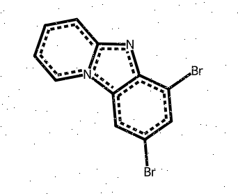 Brc1cc(Br)c2nc3ccccn3c2c1